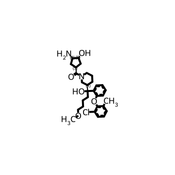 COCCCCC(O)(c1ccccc1Oc1c(C)cccc1Cl)[C@@H]1CCCN(C(=O)[C@H]2C[C@@H](N)[C@@H](O)C2)C1